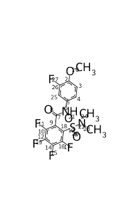 COc1ccc(NC(=O)c2c(F)c(F)c(F)c(F)c2S(=O)(=O)N(C)C)cc1F